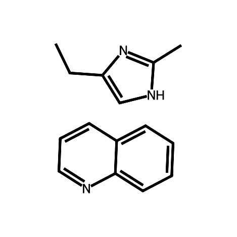 CCc1c[nH]c(C)n1.c1ccc2ncccc2c1